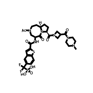 CC(=O)N1CC[C@H]2CC[C@@H](C(=O)N3CC(C(=O)N4CCN(C)CC4)C3)N2C(=O)C(NC(=O)c2cc3cc(C(F)(F)P(=O)(O)O)ccc3s2)C1